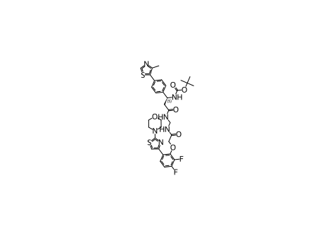 Cc1ncsc1-c1ccc([C@H](CC(=O)NCNC(=O)COc2c(-c3csc(N4CCOCC4)n3)ccc(F)c2F)NC(=O)OC(C)(C)C)cc1